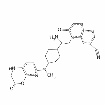 CN(c1ccc2c(n1)OC(=O)CN2)C1CCC(C(N)Cn2c(=O)ccc3ccc(C#N)cc32)CC1